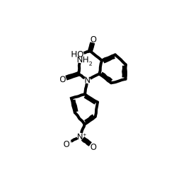 NC(=O)N(c1ccc([N+](=O)[O-])cc1)c1ccccc1C(=O)O